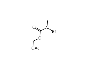 CCN(C)C(=O)OCOC(C)=O